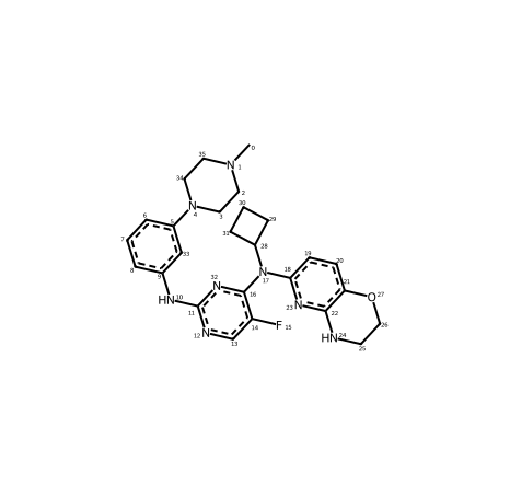 CN1CCN(c2cccc(Nc3ncc(F)c(N(c4ccc5c(n4)NCCO5)C4CCC4)n3)c2)CC1